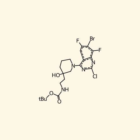 CC(C)(C)OC(=O)NCCC1(O)CCCN(c2nc(Cl)nc3c(F)c(Br)c(F)cc23)C1